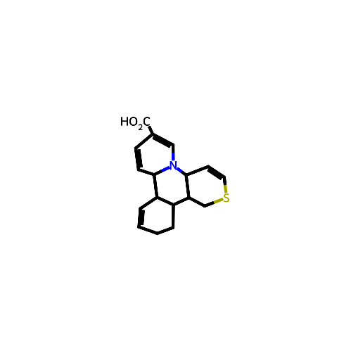 O=C(O)C1=CN2C(C=C1)C1C=CCCC1C1CSC=CC12